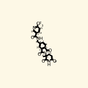 CC1(N2C(=O)c3ccc(CNC(=O)c4ccc(C(F)(F)F)nc4)cc3C2=O)CCC(=O)NC1=O